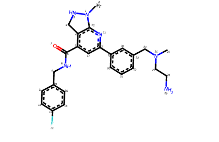 CC(C)N1NCc2c(C(=O)NCc3ccc(F)cc3)cc(-c3cccc(CN(C)CCN)c3)nc21